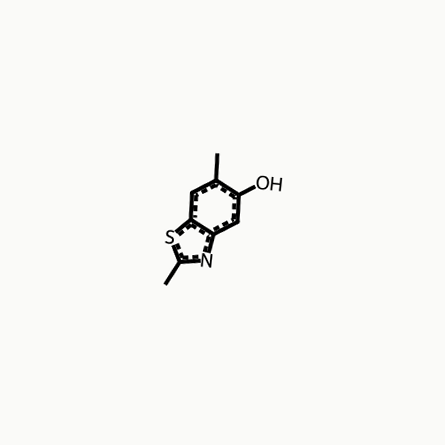 Cc1nc2cc(O)c(C)cc2s1